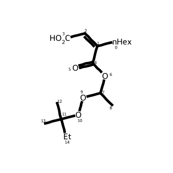 CCCCCCC(=CC(=O)O)C(=O)OC(C)OOC(C)(C)CC